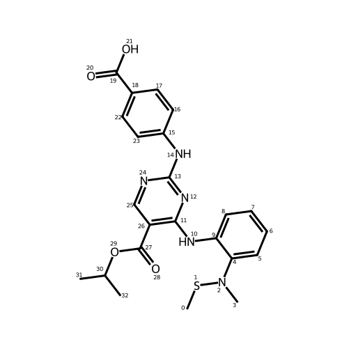 CSN(C)c1ccccc1Nc1nc(Nc2ccc(C(=O)O)cc2)ncc1C(=O)OC(C)C